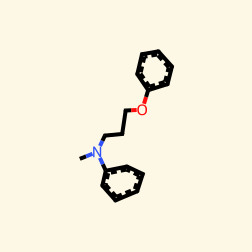 CN(CCCOc1ccccc1)c1ccccc1